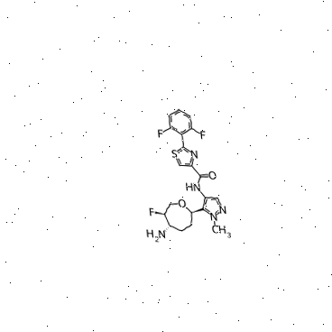 Cn1ncc(NC(=O)c2csc(-c3c(F)cccc3F)n2)c1[C@H]1CC[C@H](N)[C@@H](F)CO1